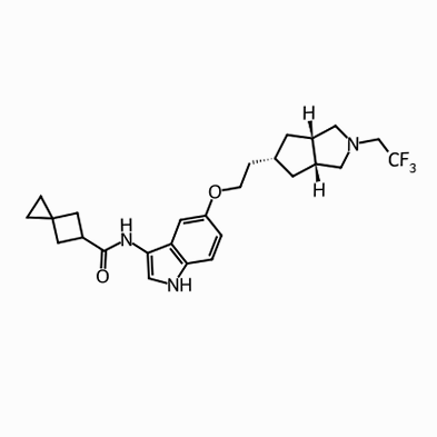 O=C(Nc1c[nH]c2ccc(OCC[C@@H]3C[C@@H]4CN(CC(F)(F)F)C[C@@H]4C3)cc12)C1CC2(CC2)C1